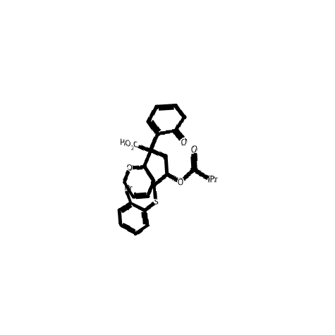 CC(C)C(=O)OC(CSc1ccccc1C(C)C)CC(C(=O)O)(C1=CC=CCC1=O)C1CC=CCO1